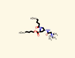 CCCCCCCCCCCCCCOC(=O)[C@@H]1C[C@@H](NC(=O)C[N+](C)(C)C)CN1C(=O)CCCCCCCCCCCCC